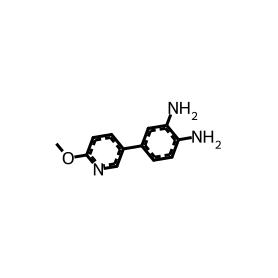 COc1ccc(-c2ccc(N)c(N)c2)cn1